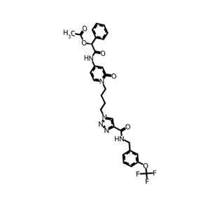 CC(=O)O[C@H](C(=O)Nc1ccn(CCCCn2cc(C(=O)NCc3cccc(OC(F)(F)F)c3)nn2)c(=O)c1)c1ccccc1